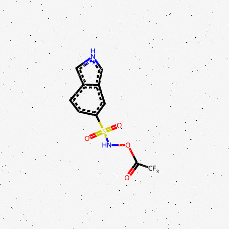 O=C(ONS(=O)(=O)c1ccc2c[nH]cc2c1)C(F)(F)F